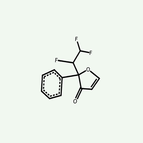 O=C1C=COC1(c1ccccc1)C(F)C(F)F